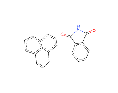 C1=Cc2cccc3cccc(c23)C1.O=C1NC(=O)c2ccccc21